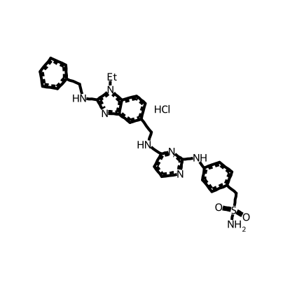 CCn1c(NCc2ccccc2)nc2cc(CNc3ccnc(Nc4ccc(CS(N)(=O)=O)cc4)n3)ccc21.Cl